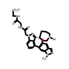 CC(=O)N1CCC[C@@H](c2nn(CC(=O)NCC(=O)NCC(=O)O)c3cccc(-c4cc5c(cnn5C)cc4F)c23)CC1